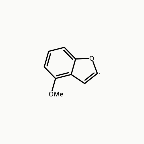 COc1cccc2o[c]cc12